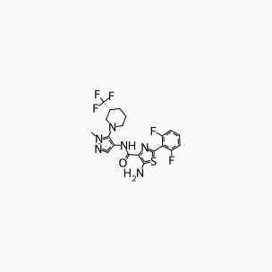 Cn1ncc(NC(=O)c2nc(-c3c(F)cccc3F)sc2N)c1N1CCC[C@@H](C(F)(F)F)C1